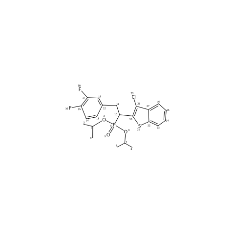 CC(C)OP(=O)(OC(C)C)C(Cc1ccc(F)c(F)c1)c1sc2ccccc2c1Cl